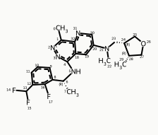 Cc1nnc(N[C@H](C)c2cccc(C(F)F)c2F)c2cc(N(C)C[C@@H]3COC[C@@H]3C)cnc12